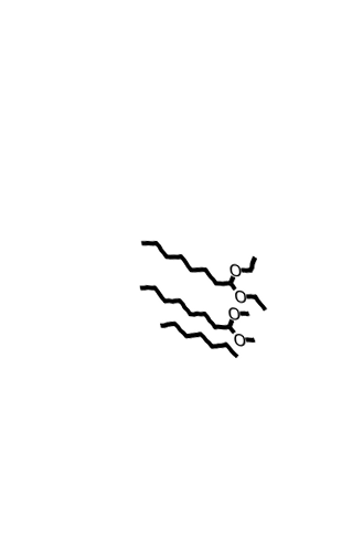 CCCCCCC.CCCCCCCC(OC)OC.CCCCCCCC(OCC)OCC